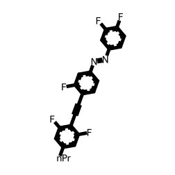 CCCc1cc(F)c(C#Cc2ccc(N=Nc3ccc(F)c(F)c3)cc2F)c(F)c1